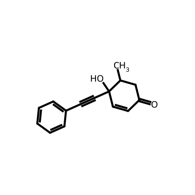 CC1CC(=O)C=CC1(O)C#Cc1ccccc1